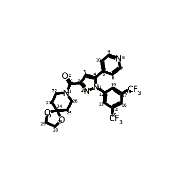 O=C(c1cc(-c2ccncc2)n(-c2cc(C(F)(F)F)cc(C(F)(F)F)c2)n1)N1CCC2(CC1)OCCO2